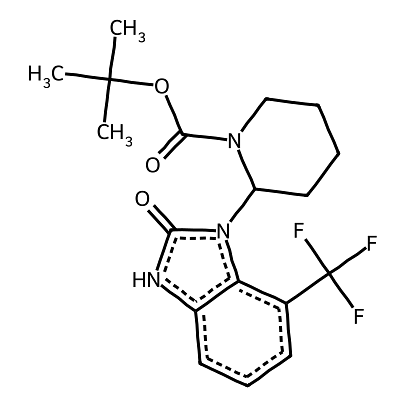 CC(C)(C)OC(=O)N1CCCCC1n1c(=O)[nH]c2cccc(C(F)(F)F)c21